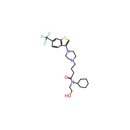 O=C(CCCN1CCN(c2csc3cc(C(F)(F)F)ccc23)CC1)N(CCO)C1CCCCC1